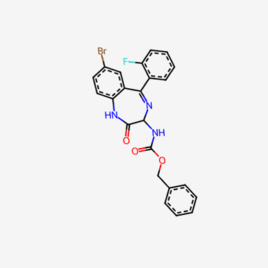 O=C(NC1N=C(c2ccccc2F)c2cc(Br)ccc2NC1=O)OCc1ccccc1